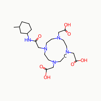 CC1CCCC(NC(=O)CN2CCN(CC(=O)O)CCN(CC(=O)O)CCN(CC(=O)O)CC2)C1